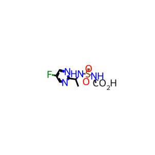 CC(NS(=O)(=O)NC(=O)O)c1ncc(F)cn1